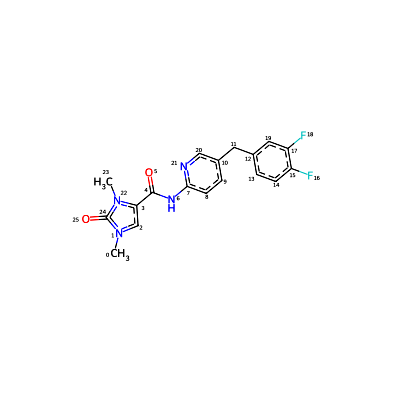 Cn1cc(C(=O)Nc2ccc(Cc3ccc(F)c(F)c3)cn2)n(C)c1=O